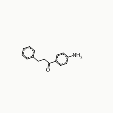 Nc1ccc(C(=O)CCc2ccccc2)cc1